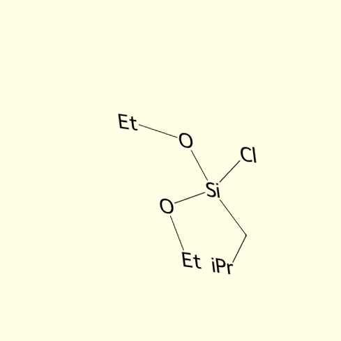 CCO[Si](Cl)(CC(C)C)OCC